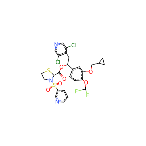 O=C(OC(Cc1c(Cl)cncc1Cl)c1ccc(OC(F)F)c(OCC2CC2)c1)[C@@H]1SCCN1S(=O)(=O)c1cccnc1